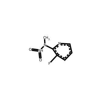 CN(c1ncc[c]c1F)[SH](=O)=O